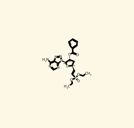 CCOP(=O)(C=C[C@@H]1C[C@@H](OC(=O)c2ccccc2)[C@H](n2nnc3c(N)ncnc32)O1)OCC